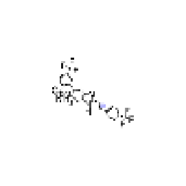 NS(=O)(=O)c1ccc(C(F)(F)F)cc1-c1ccc2[nH]c(/C=C/c3ccc(C(F)(F)F)cc3)nc2c1